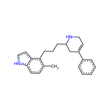 Cc1ccc2[nH]ccc2c1CCCC1CC(c2ccccc2)=CCN1